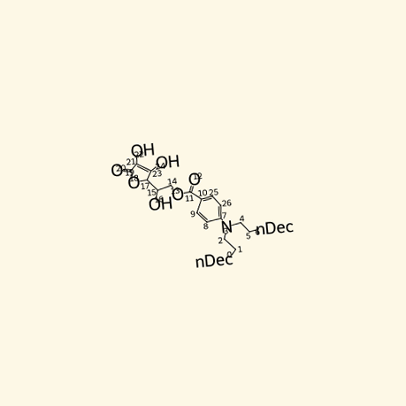 CCCCCCCCCCCCN(CCCCCCCCCCCC)c1ccc(C(=O)OCC(O)C2OC(=O)C(O)=C2O)cc1